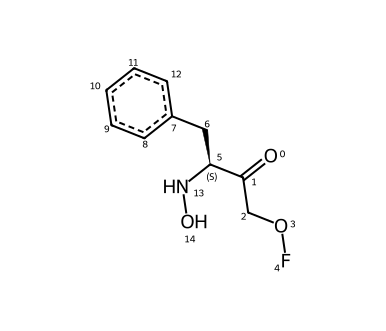 O=C(COF)[C@H](Cc1ccccc1)NO